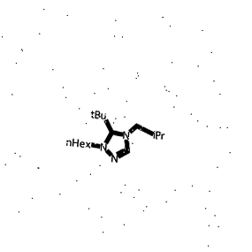 CCCCCCN1N=CN(CC(C)C)C1C(C)(C)C